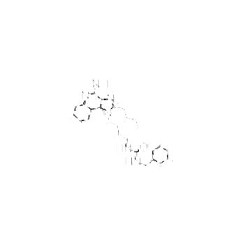 CCCCc1nc2c(N)nc3ccccc3c2n1CCCCNC(=O)N[C@@H](C)c1ccccc1